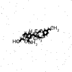 C=CCc1ccc2c(c1)OCC(C)(C)N([C@H](C)Cc1cc(C(N)=O)c3c(ccn3CCCO)c1)CCO2